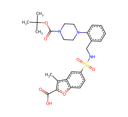 Cc1c(C(=O)O)oc2ccc(S(=O)(=O)NCc3ccccc3N3CCN(C(=O)OC(C)(C)C)CC3)cc12